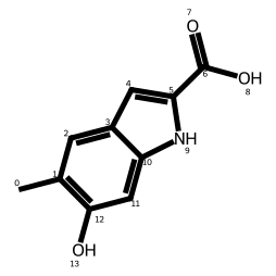 Cc1cc2cc(C(=O)O)[nH]c2cc1O